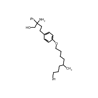 CC(C)CCCC(C)CCCCOc1ccc(CCC(N)(CO)C(C)C)cc1